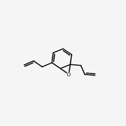 C=CCC1=CC=CC2(CC=C)OC12